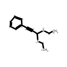 CCSC(C#Cc1ccccc1)SCC